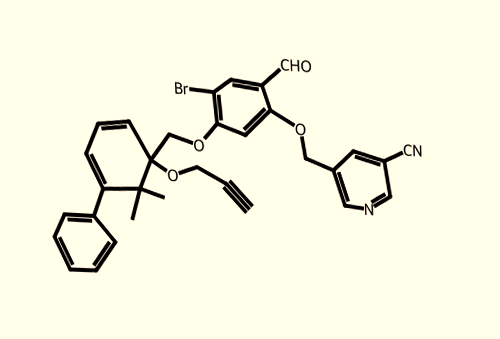 C#CCOC1(COc2cc(OCc3cncc(C#N)c3)c(C=O)cc2Br)C=CC=C(c2ccccc2)C1(C)C